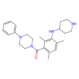 Cc1cc(C)c(C(=O)N2CCN(c3ccccc3)CC2)c(C)c1NC1CCNCC1